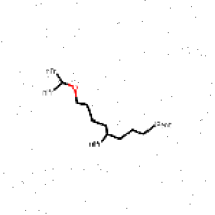 CCCC(C)CCCC(CCC)CCCCOC(CCC)CCC